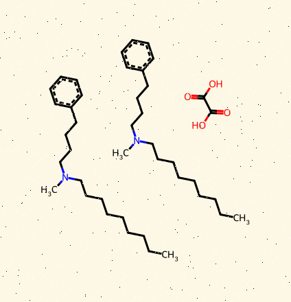 CCCCCCCCCN(C)CCCCc1ccccc1.CCCCCCCCCN(C)CCCCc1ccccc1.O=C(O)C(=O)O